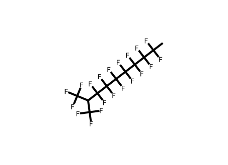 CC(F)(F)C(F)(F)C(F)(F)C(F)(F)C(F)(F)C(F)(F)C(F)(F)C(C(F)(F)F)C(F)(F)F